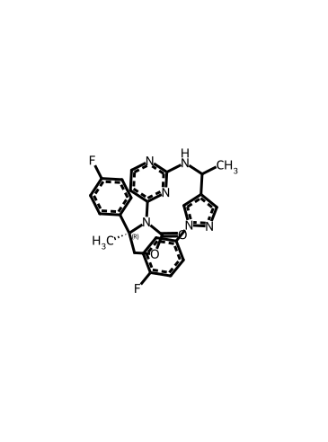 CC(Nc1nccc(N2C(=O)OC[C@@]2(C)c2ccc(F)cc2)n1)c1cnn(-c2ccc(F)cc2)c1